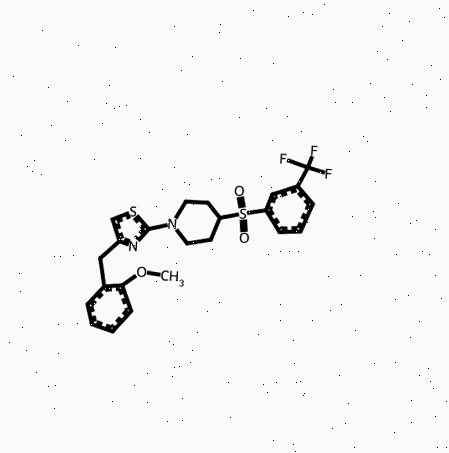 COc1ccccc1Cc1csc(N2CCC(S(=O)(=O)c3cccc(C(F)(F)F)c3)CC2)n1